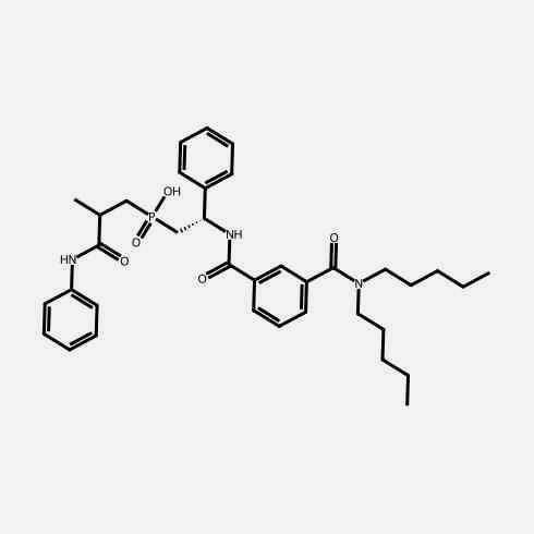 CCCCCN(CCCCC)C(=O)c1cccc(C(=O)N[C@H](CP(=O)(O)CC(C)C(=O)Nc2ccccc2)c2ccccc2)c1